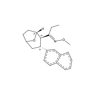 CCC(=NOC)[C@@H]1[C@H]2CCC(C[C@H]1c1ccc3ccccc3c1)O2